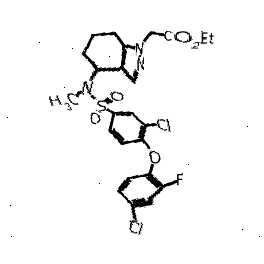 CCOC(=O)Cn1ncc2c1CCCC2N(C)S(=O)(=O)c1ccc(Oc2ccc(Cl)cc2F)c(Cl)c1